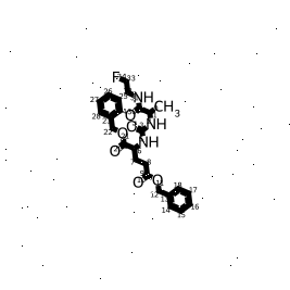 CC(NC(=O)NC(CCC(=O)OCc1ccccc1)C(=O)OCc1ccccc1)C(=O)NCCF